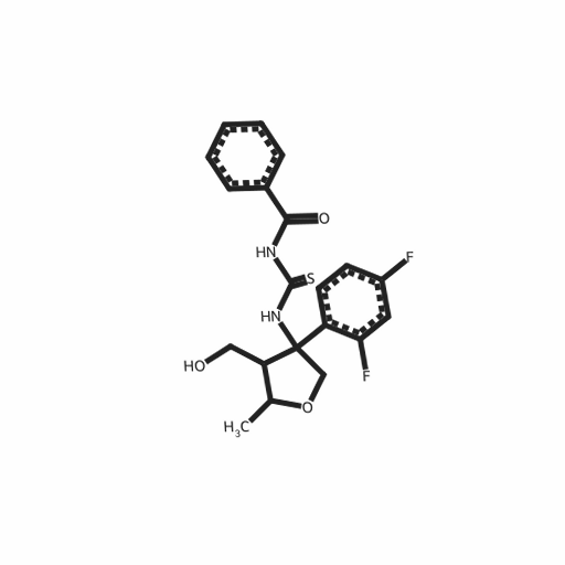 CC1OCC(NC(=S)NC(=O)c2ccccc2)(c2ccc(F)cc2F)C1CO